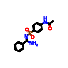 CC(=O)Nc1ccc(S(=O)(=O)N=C(N)c2ccccc2)cc1